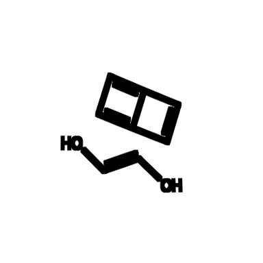 OC=CO.c1cc2ccc1-2